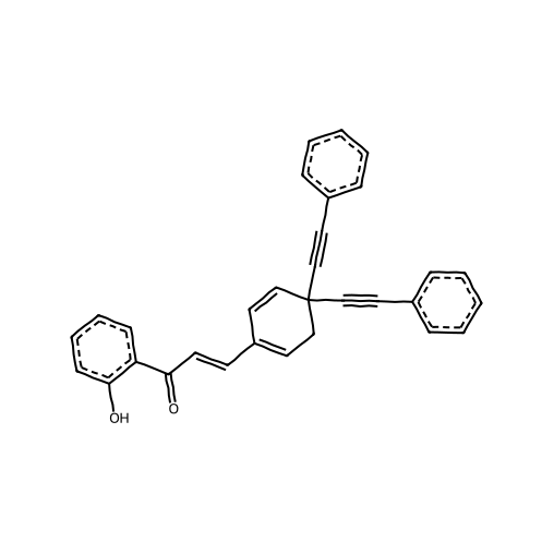 O=C(C=CC1=CCC(C#Cc2ccccc2)(C#Cc2ccccc2)C=C1)c1ccccc1O